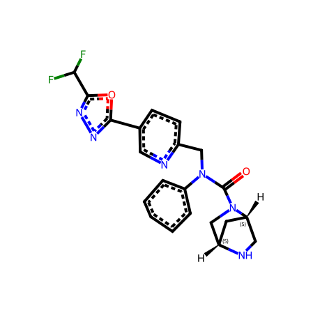 O=C(N(Cc1ccc(-c2nnc(C(F)F)o2)cn1)c1ccccc1)N1C[C@@H]2C[C@H]1CN2